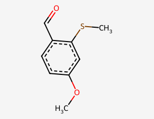 COc1ccc(C=O)c(SC)c1